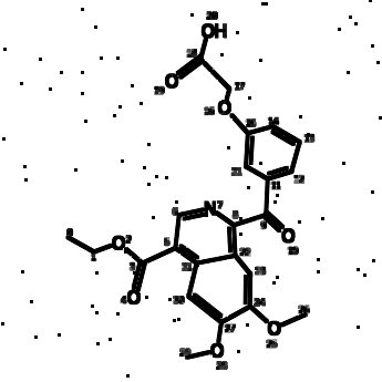 CCOC(=O)c1cnc(C(=O)c2cccc(OCC(=O)O)c2)c2cc(OC)c(OC)cc12